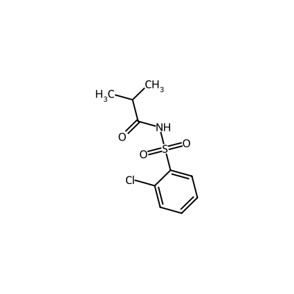 CC(C)C(=O)NS(=O)(=O)c1ccccc1Cl